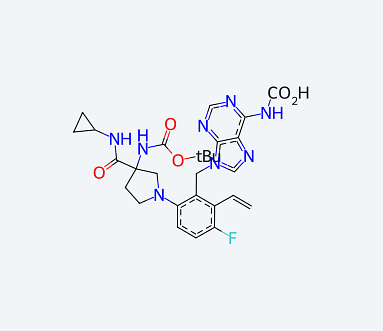 C=Cc1c(F)ccc(N2CCC(NC(=O)OC(C)(C)C)(C(=O)NC3CC3)C2)c1Cn1cnc2c(NC(=O)O)ncnc21